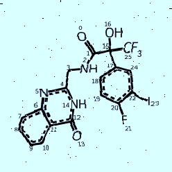 O=C(NCc1nc2ccccc2c(=O)[nH]1)C(O)(c1ccc(F)c(I)c1)C(F)(F)F